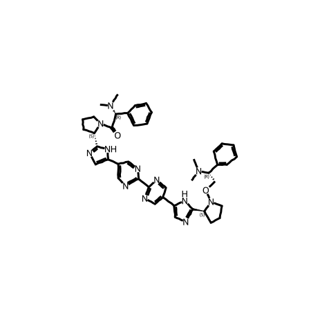 CN(C)[C@@H](CON1CCC[C@H]1c1ncc(-c2cnc(-c3ncc(-c4cnc([C@@H]5CCCN5C(=O)[C@@H](c5ccccc5)N(C)C)[nH]4)cn3)nc2)[nH]1)c1ccccc1